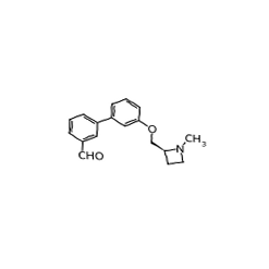 CN1CC[C@H]1COc1cccc(-c2cccc(C=O)c2)c1